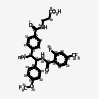 CCCC(c1ccc(C(=O)NCCC(=O)O)cc1)C(NC(=O)c1ccc(C(F)(F)F)cc1F)c1ccc(OC(F)(F)F)cc1